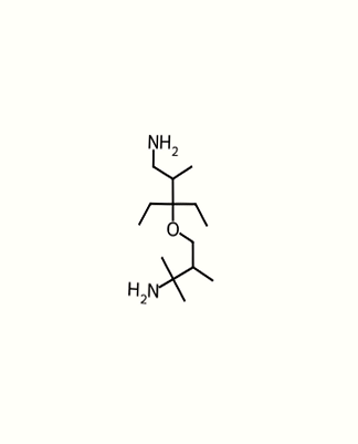 CCC(CC)(OCC(C)C(C)(C)N)C(C)CN